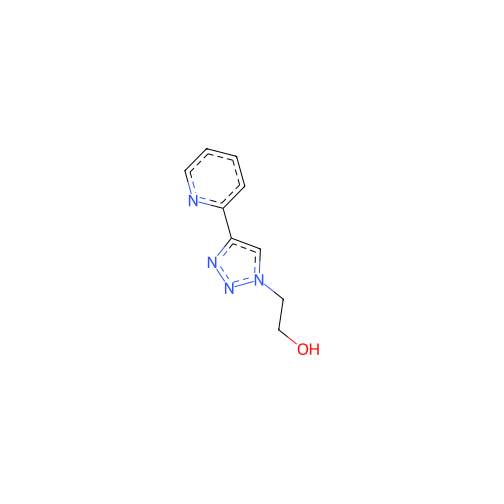 OCCn1cc(-c2ccccn2)nn1